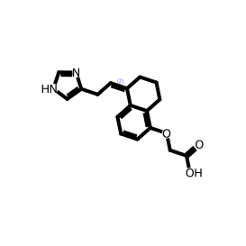 O=C(O)COc1cccc2c1CCC/C2=C/Cc1c[nH]cn1